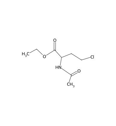 CCOC(=O)C(CCCl)NC(C)=O